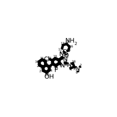 CN(C)C1CN(c2nc(N=[S@]3(=O)CC[C@@H](N)CC3)c3cc(Cl)c(-c4cc(O)cc5ccccc45)c(F)c3n2)C1